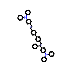 C(=C\c1ccc(N(c2ccccc2)c2ccccc2)cc1)/c1ccc(-c2ccc(/C=C(\c3ccccc3)c3ccc(N(c4ccccc4)c4ccccc4)cc3)cc2)cc1